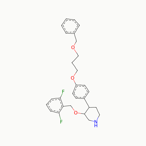 Fc1cccc(F)c1COC1CNCCC1c1ccc(OCCCOCc2ccccc2)cc1